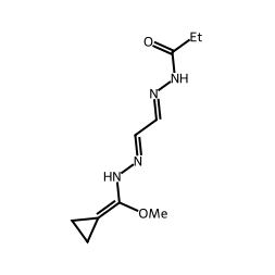 CCC(=O)N/N=C/C=N/NC(OC)=C1CC1